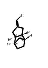 CCC=C1C[C@@H]2[C@@H]3CC[C@H](C3)[C@H]2C1